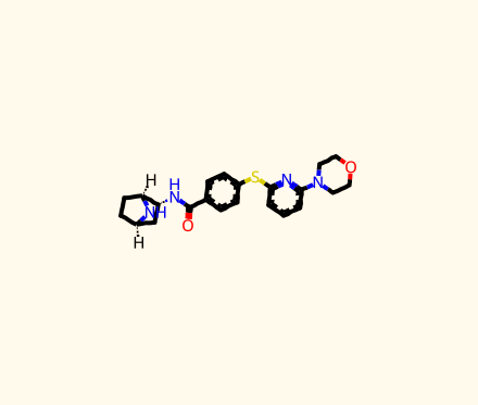 O=C(N[C@@H]1C[C@H]2CC[C@@H]1N2)c1ccc(Sc2cccc(N3CCOCC3)n2)cc1